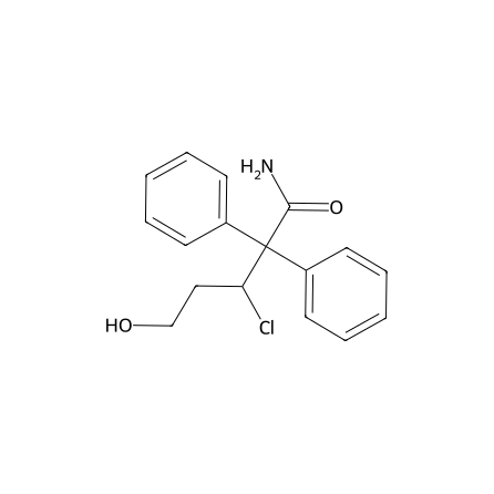 NC(=O)C(c1ccccc1)(c1ccccc1)C(Cl)CCO